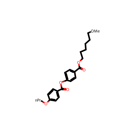 CCCOc1ccc(C(=O)Oc2ccc(C(=O)OCCCCCCOC)cc2)cc1